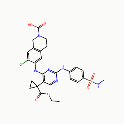 CCOC(=O)C1(c2cnc(Nc3ccc(S(=O)(=O)NC)cc3)nc2Nc2cc3c(cc2Cl)CN(C(=O)O)CC3)CC1